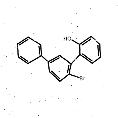 Oc1ccccc1-c1cc(-c2ccccc2)ccc1Br